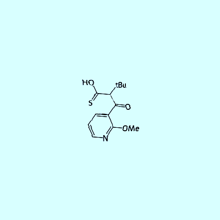 COc1ncccc1C(=O)C(C(O)=S)C(C)(C)C